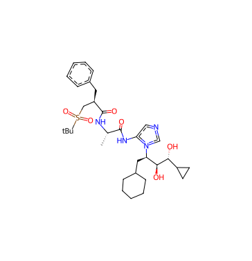 C[C@H](NC(=O)[C@H](Cc1ccccc1)CS(=O)(=O)C(C)(C)C)C(=O)Nc1cncn1[C@H](CC1CCCCC1)[C@H](O)[C@H](O)C1CC1